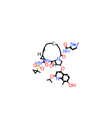 Cc1c(O)ccc2c(O[C@@H]3C[C@H]4C(=O)N[C@]5(C(=O)NS(=O)(=O)C6(C)CC6)C[C@H]5/C=C\CCCCC[C@H](NC(=O)c5ccn(C)n5)C(=O)N4C3)cc(OC(C)C)nc12